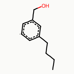 CCCCc1c[c]cc(CO)c1